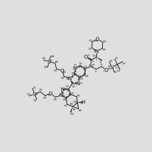 C[C@@H](C(=O)N(CCO[Si](C)(C)C(C)(C)C)c1cnc2c(c1)nc(-c1nn(COCC[Si](C)(C)C)c3c1C[C@@H]1C[C@]1(C)C3)n2COCC[Si](C)(C)C)N1CCOCC1